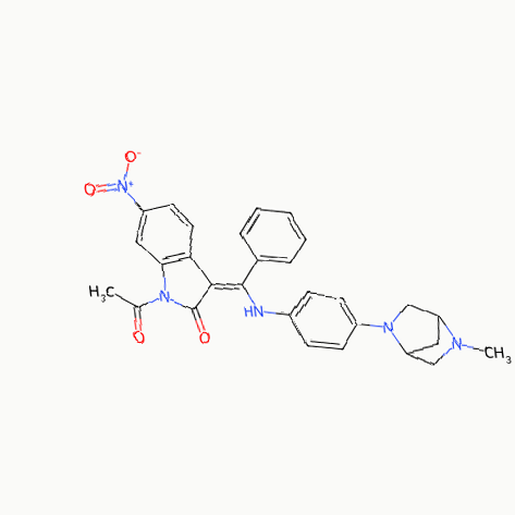 CC(=O)N1C(=O)/C(=C(\Nc2ccc(N3CC4CC3CN4C)cc2)c2ccccc2)c2ccc([N+](=O)[O-])cc21